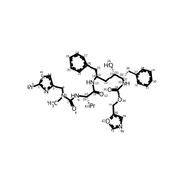 CC(C)c1nc(CN(C)C(=O)N[C@H](C(=O)N[C@@H](Cc2ccccc2)C[C@H](O)[C@H](Cc2ccccc2)NC(=O)OCc2cnco2)C(C)C)cs1